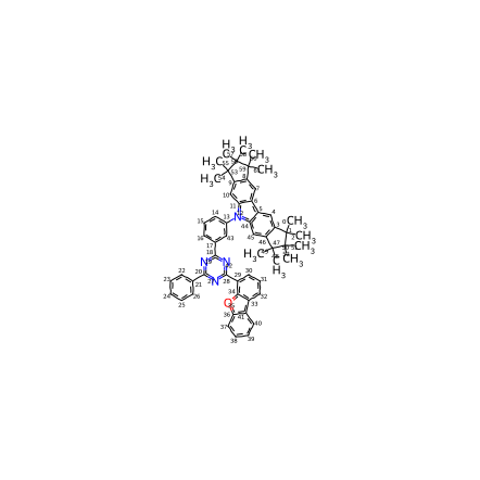 CC1(C)c2cc3c4cc5c(cc4n(-c4cccc(-c6nc(-c7ccccc7)nc(-c7cccc8c7oc7ccccc78)n6)c4)c3cc2C(C)(C)C1(C)C)C(C)(C)C(C)(C)C5(C)C